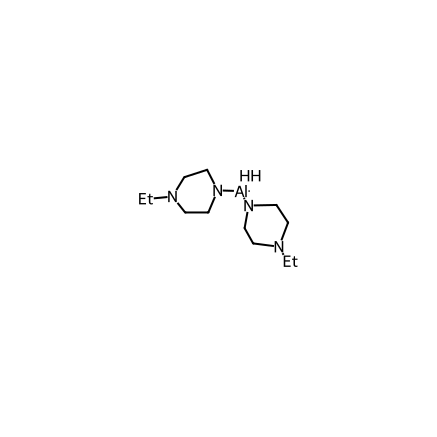 CCN1CC[N]([Al][N]2CCN(CC)CC2)CC1.[HH]